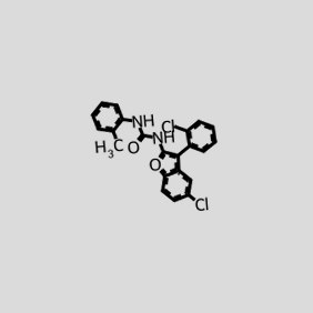 Cc1ccccc1NC(=O)Nc1oc2ccc(Cl)cc2c1-c1ccccc1Cl